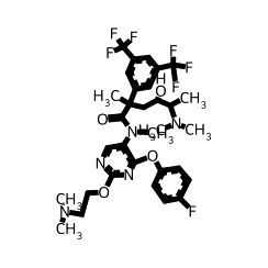 CC(C(O)CC(C)(C(=O)N(C)c1cnc(OCCN(C)C)nc1Oc1ccc(F)cc1)c1cc(C(F)(F)F)cc(C(F)(F)F)c1)N(C)C